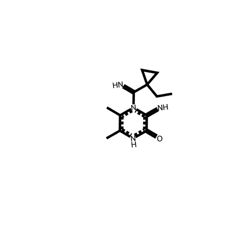 CCC1(C(=N)n2c(C)c(C)[nH]c(=O)c2=N)CC1